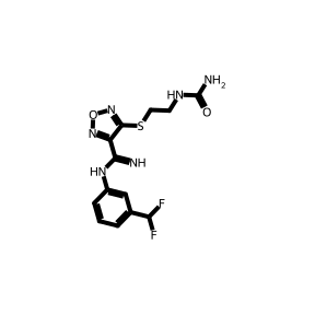 N=C(Nc1cccc(C(F)F)c1)c1nonc1SCCNC(N)=O